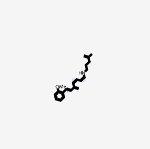 C=C(/C=C\C=C/NCCCC(=C)C)/C=C/c1ccccc1OC